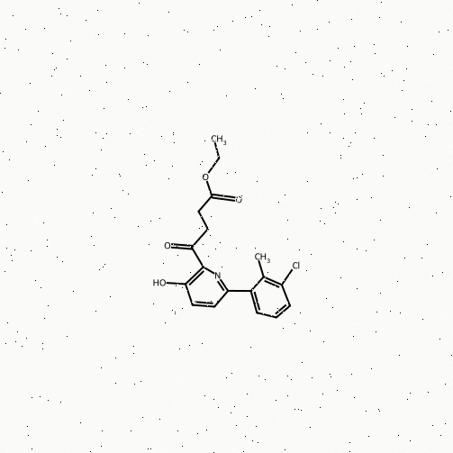 CCOC(=O)CCC(=O)c1nc(-c2cccc(Cl)c2C)ccc1O